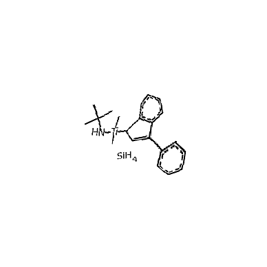 CC(C)(C)[NH][Ti]([CH3])([CH3])[CH]1C=C(c2ccccc2)c2ccccc21.[SiH4]